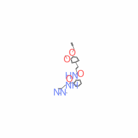 C#CCOc1ccc(/C=C/C(=O)Nc2ccccc2C(=O)NCc2cncn2C)cc1OC